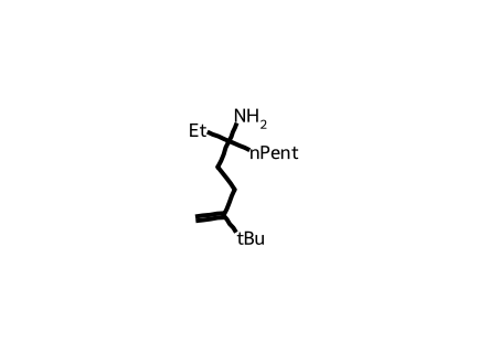 C=C(CCC(N)(CC)CCCCC)C(C)(C)C